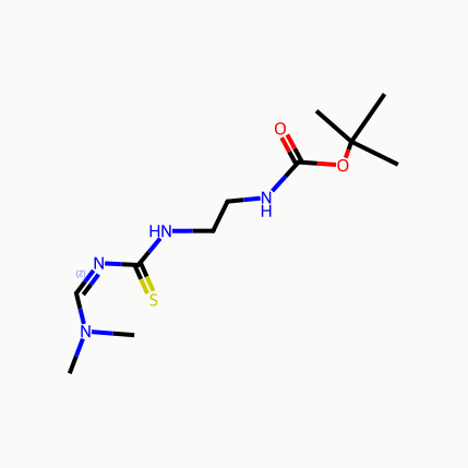 CN(C)/C=N\C(=S)NCCNC(=O)OC(C)(C)C